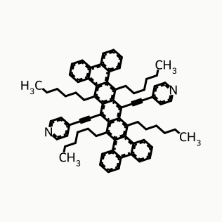 CCCCCCc1c2c(C#Cc3ccncc3)c3c(CCCCCC)c4c5ccccc5c5ccccc5c4c(CCCCCC)c3c(C#Cc3ccncc3)c2c(CCCCCC)c2c3ccccc3c3ccccc3c12